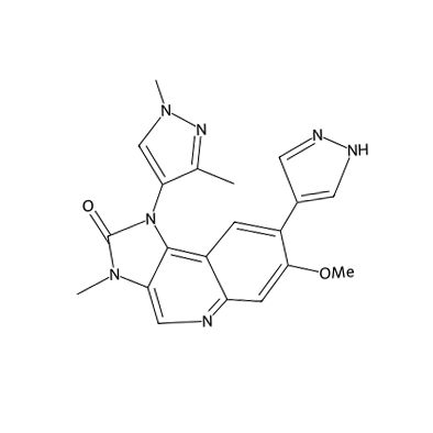 COc1cc2ncc3c(c2cc1-c1cn[nH]c1)n(-c1cn(C)nc1C)c(=O)n3C